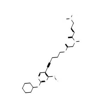 CCCNc1nc(NC2CCCCC2)ncc1C#CCCCNC(=O)CN(C)C(=O)/C=C/CN(C)C